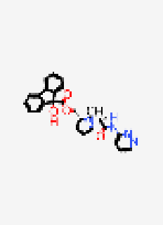 C[N+]1(CC(=O)Nc2cccnn2)CCC[C@@H]1COC(=O)C1(O)c2ccccc2-c2ccccc21